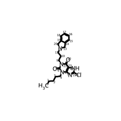 CCCCCn1c(=O)n(CCCN2Cc3ccccc3C2)c(=O)c2[nH]c(Cl)nc21